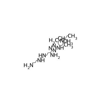 CCCCN1C(C)(C)CC(Nc2ncnc(C(N)CCNCCNCCCN)n2)CC1(C)C